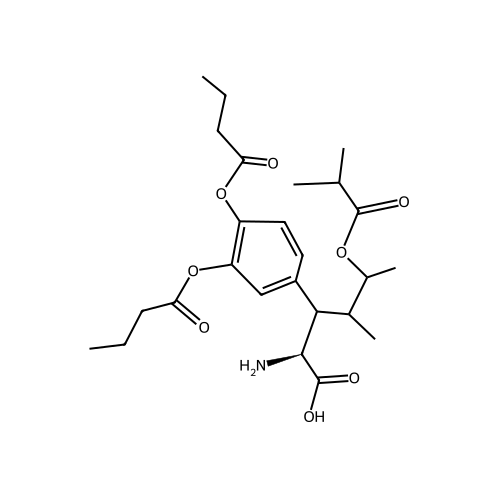 CCCC(=O)Oc1ccc(C(C(C)C(C)OC(=O)C(C)C)[C@H](N)C(=O)O)cc1OC(=O)CCC